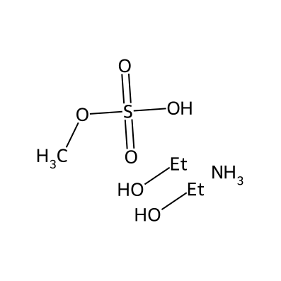 CCO.CCO.COS(=O)(=O)O.N